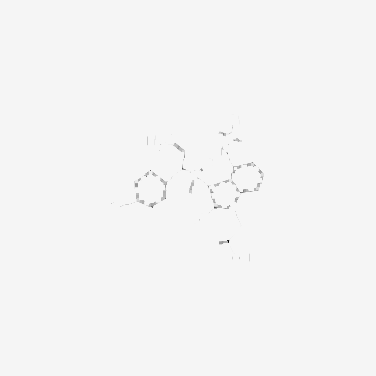 C=CC(c1ccc(Cl)cc1)S(=O)(=O)c1c(C)n(CC(=O)O)c2cccc(NS(C)(=O)=O)c12